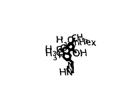 CCCCCCC(C)(C)c1cc(O)c2c(c1)OC(C)(C)[C@H]1CC=C(CN3CCNCC3)CC21